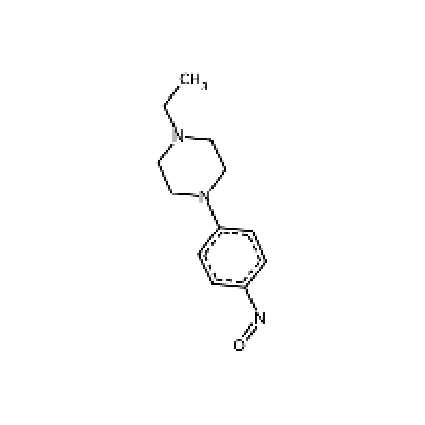 CCN1CCN(c2ccc(N=O)cc2)CC1